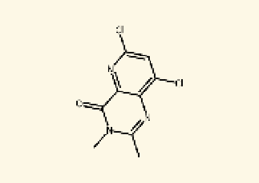 Cc1nc2c(Cl)cc(Cl)nc2c(=O)n1C